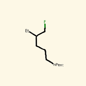 CCCCCCCCC(CC)CF